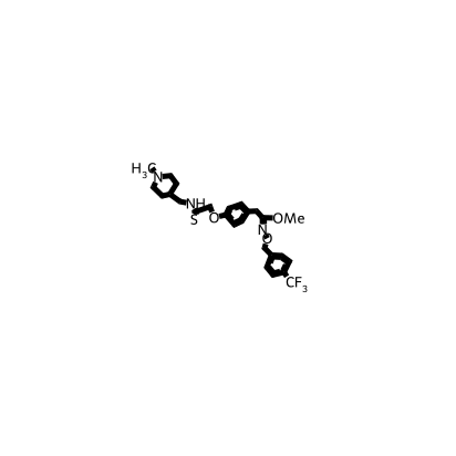 COC(Cc1ccc(OCC(=S)NCC2CCN(C)CC2)cc1)=NOCc1ccc(C(F)(F)F)cc1